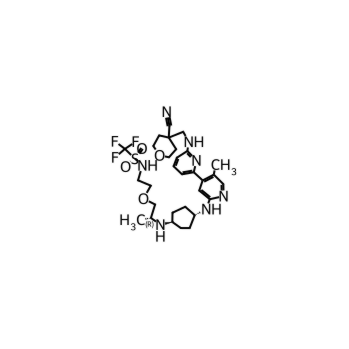 Cc1cnc(N[C@H]2CC[C@H](N[C@H](C)COCCNS(=O)(=O)C(F)(F)F)CC2)cc1-c1cccc(NCC2(C#N)CCOCC2)n1